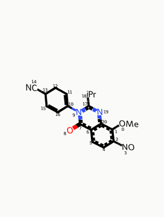 COc1c(N=O)ccc2c(=O)n(C3=CCC(C#N)C=C3)c(C(C)C)nc12